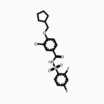 O=C(NS(=O)(=O)c1ccc(F)cc1F)c1ccc(OCC2CCCC2)c(Cl)c1